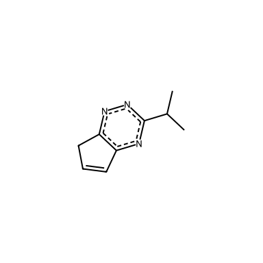 CC(C)c1nnc2c(n1)C=CC2